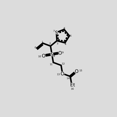 C=CC(c1cccs1)S(=O)(=O)CCOC(=O)CC